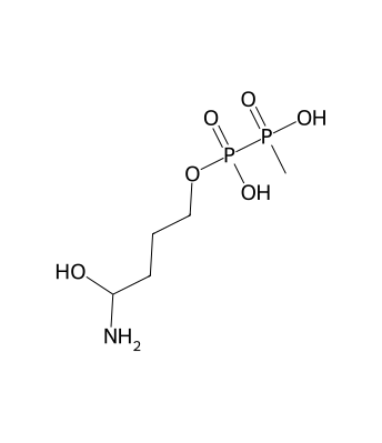 CP(=O)(O)P(=O)(O)OCCCC(N)O